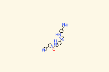 O=C(c1cc2ccc(-c3nccc(NC4=CC=C(c5cn[nH]c5)CC4)n3)cc2[nH]1)N1CCCC(c2ccncc2)C1